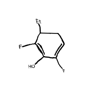 CCC1CC=C(F)C(O)=C1F